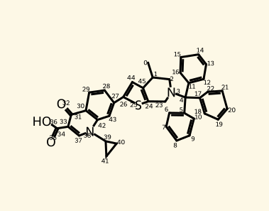 CC1CN(C(c2ccccc2)(c2ccccc2)c2ccccc2)Cc2sc(-c3ccc4c(=O)c(C(=O)O)cn(C5CC5)c4c3)cc21